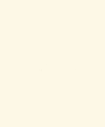 Cc1c(-c2nc3ccccc3cc2C(=O)O)ccc2ccccc12